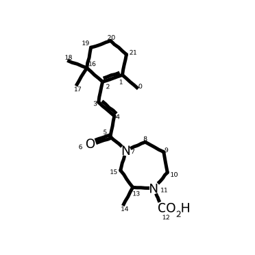 CC1=C(C=CC(=O)N2CCCN(C(=O)O)C(C)C2)C(C)(C)CCC1